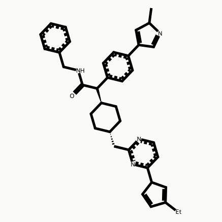 CCC1=CC(c2ccnc(C[C@H]3CC[C@H](C(C(=O)NCc4ccccc4)c4ccc(C5=CC(C)N=C5)cc4)CC3)n2)C=C1